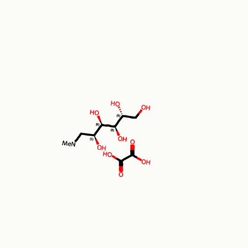 CNC[C@H](O)[C@@H](O)[C@H](O)[C@H](O)CO.O=C(O)C(=O)O